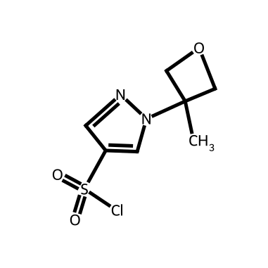 CC1(n2cc(S(=O)(=O)Cl)cn2)COC1